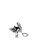 Cc1cc(Nc2nc(C=Cc3ccccc3)nc(N3CCOCC3)c2[N+](=O)[O-])[nH]n1